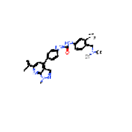 C=C(C)c1cc(-c2ccc(NC(=O)Nc3ccc(CN(CC)CC)c(C(F)(F)F)c3)cc2)c2cnn(C)c2n1